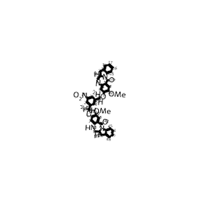 [2H]C([2H])(Oc1cc2c(cc1OC)C(=O)N1c3ccccc3C[C@H]1C=N2)c1cc([N+](=O)[O-])cc(C([2H])([2H])Oc2cc3c(cc2OC)C(=O)N2c4ccccc4C[C@H]2CN3)c1